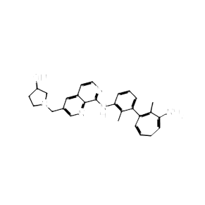 CC1=C(c2cccc(Nc3nccc4cc(CN5CCC(O)C5)cnc34)c2C)C=CCC=C1N